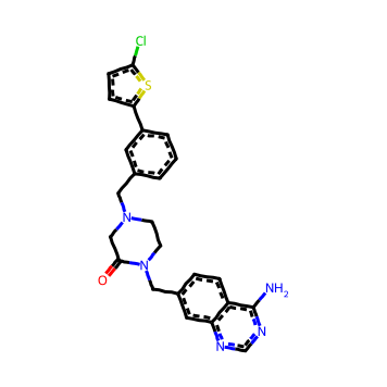 Nc1ncnc2cc(CN3CCN(Cc4cccc(-c5ccc(Cl)s5)c4)CC3=O)ccc12